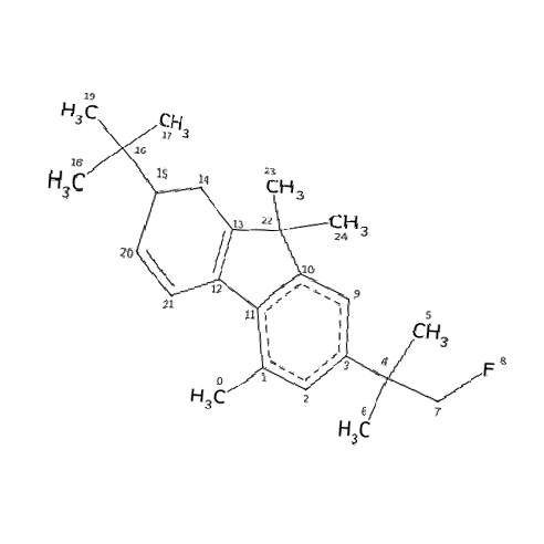 Cc1cc(C(C)(C)CF)cc2c1C1=C(CC(C(C)(C)C)C=C1)C2(C)C